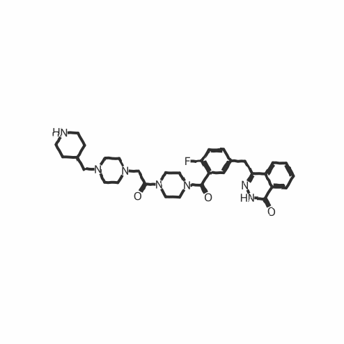 O=C(CN1CCN(CC2CCNCC2)CC1)N1CCN(C(=O)c2cc(Cc3n[nH]c(=O)c4ccccc34)ccc2F)CC1